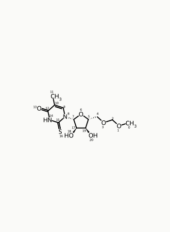 COCOC[C@H]1O[C@@H](n2cc(C)c(=O)[nH]c2=S)[C@H](O)[C@@H]1O